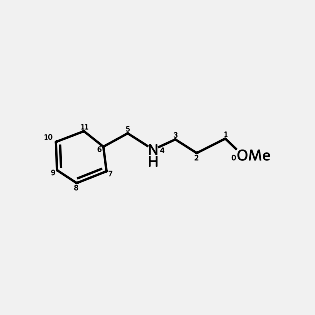 COCCCNCC1C=CC=CC1